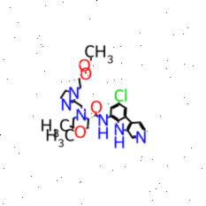 CCOOCCN1CCN=C1CN1CC(C)(C)OC[C@H]1C(=O)Nc1cc(Cl)cc2c1[nH]c1cnccc12